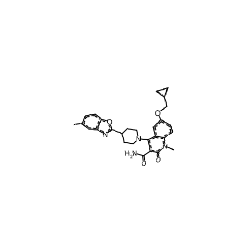 Cc1ccc2oc(C3CCN(c4c(C(N)=O)c(=O)n(C)c5ccc(OCC6CC6)cc45)CC3)nc2c1